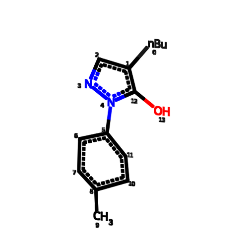 CCCCc1cnn(-c2ccc(C)cc2)c1O